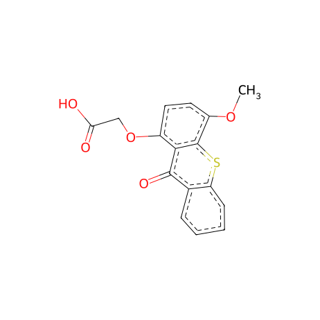 COc1ccc(OCC(=O)O)c2c(=O)c3ccccc3sc12